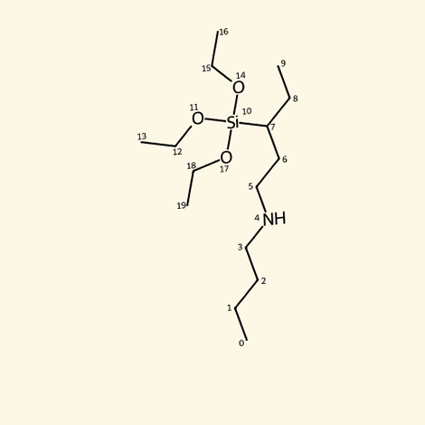 CCCCNCCC(CC)[Si](OCC)(OCC)OCC